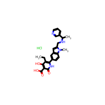 CCc1c(-c2ccc3c(c2)cc(CNC(C)c2cccnc2)n3C)[nH]c(=O)c(C(=O)O)c1O.Cl